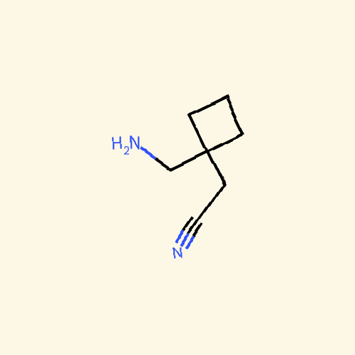 N#CCC1(CN)CCC1